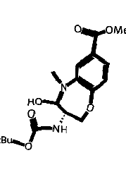 COC(=O)c1ccc2c(c1)N(C)C(O)[C@@H](NC(=O)OC(C)(C)C)CO2